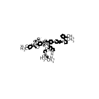 CC(C)c1ccccc1[C@H]1CCCN1C1CC2(CCN(c3ccc(C(=O)NS(=O)(=O)c4cc5c(c([N+](=O)[O-])c4)N[C@@H](C4CCC(C)(C)CC4)CO5)c(Oc4cc5cc[nH]c5nc4O[C@@H]4CCN(C(=O)OC(C)(C)C)C4)c3)CC2)C1